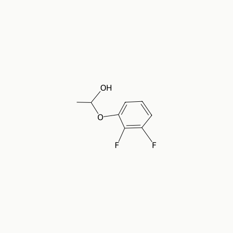 CC(O)Oc1cccc(F)c1F